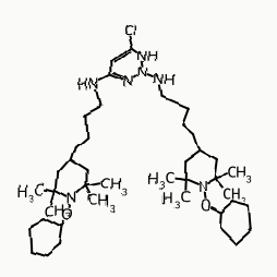 CC1(C)CC(CCCCNC2=NN(NCCCCC3CC(C)(C)N(OC4CCCCC4)C(C)(C)C3)NC(Cl)=C2)CC(C)(C)N1OC1CCCCC1